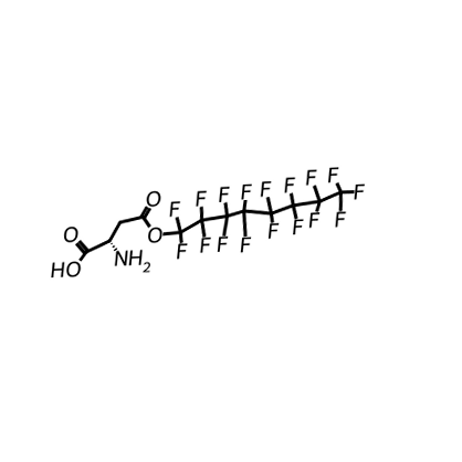 N[C@@H](CC(=O)OC(F)(F)C(F)(F)C(F)(F)C(F)(F)C(F)(F)C(F)(F)C(F)(F)C(F)(F)F)C(=O)O